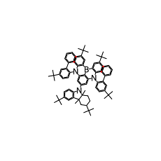 CC(C)(C)c1ccc2c(c1)B1c3cc(C(C)(C)C)ccc3N(c3ccc(C(C)(C)C)cc3-c3ccccc3)c3cc(N4c5ccc(C(C)(C)C)cc5C5(C)CC(C(C)(C)C)CCC45C)cc(c31)N2c1ccc(C(C)(C)C)cc1-c1ccccc1